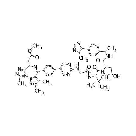 COC(=O)C[C@@H]1N=C(c2ccc(-c3cnc(NCC(=O)N[C@H](C(=O)N4C[C@H](O)C[C@H]4C(=O)N[C@@H](C)c4ccc(-c5scnc5C)cc4)C(C)(C)C)nc3)cc2)c2c(sc(C)c2C)-n2c(C)nnc21